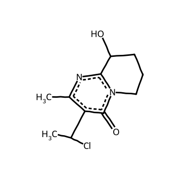 Cc1nc2n(c(=O)c1C(C)Cl)CCCC2O